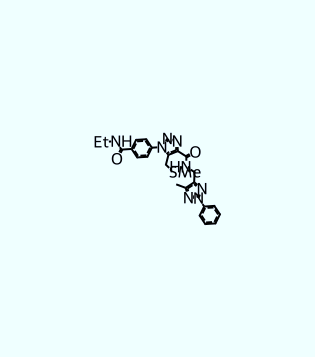 CCNC(=O)c1ccc(-n2nnc(C(=O)NCc3nn(-c4ccccc4)nc3C)c2CSC)cc1